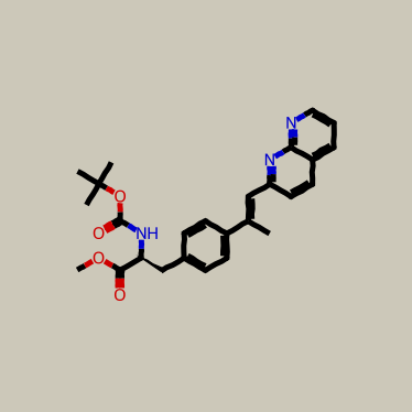 COC(=O)[C@H](Cc1ccc(/C(C)=C/c2ccc3cccnc3n2)cc1)NC(=O)OC(C)(C)C